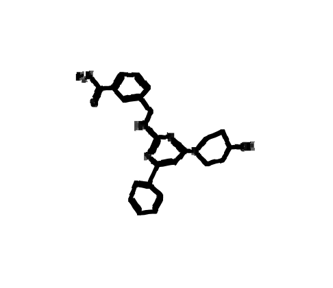 NC(=O)c1cccc(CNc2nc(-c3ccccc3)cc(N3CCC(O)CC3)n2)c1